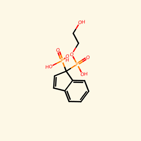 O=P(O)(O)C1(P(=O)(O)OCCO)C=Cc2ccccc21